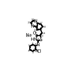 O=C1NC(=Nc2ccccc2Cl)SC1=Cc1ccc2nccnc2c1.[Na]